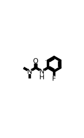 CN(C)C(=O)Nc1[c]cccc1F